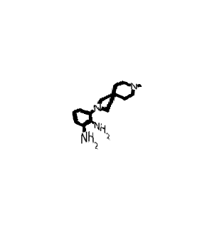 CN1CCC2(CC1)CN(c1cccc(N)c1N)C2